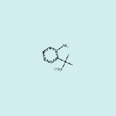 CCOC(=O)C(C)(C)c1ccccc1[N+](=O)[O-]